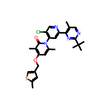 Cc1cc(COc2cc(C)n(-c3cc(-c4nc(C(C)(C)C)ncc4C)ncc3Cl)c(=O)c2C)cs1